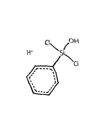 O[Si](Cl)(Cl)c1ccccc1.[H+]